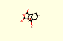 O=C1OC(=O)C2C1CC13CC=CC2C1C(=O)OC3=O